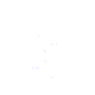 O=C=C1NCN(N2CNCN2)N1